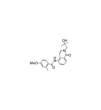 COc1ccc(C(=O)Nc2cccc3c(=O)n(CC(C)(C)O)ccc23)c(C)c1